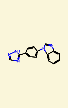 c1ccc2c(c1)ncn2-c1ccc(-c2ncn[nH]2)cc1